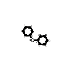 [c]1[c]c(Oc2ccccc2)ccc1